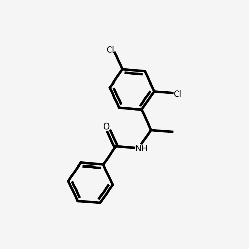 CC(NC(=O)c1ccccc1)c1ccc(Cl)cc1Cl